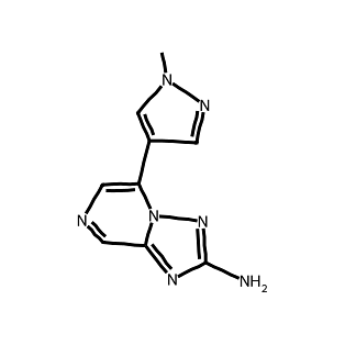 Cn1cc(-c2cncc3nc(N)nn23)cn1